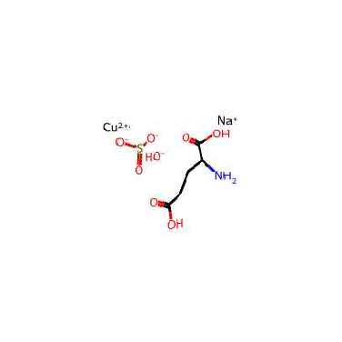 NC(CCC(=O)O)C(=O)O.O=S([O-])[O-].[Cu+2].[Na+].[OH-]